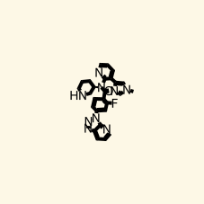 Cn1cnc(-c2cccnc2N(C(=O)c2ccc(-n3nnc4cccnc43)cc2F)[C@@H]2CCCNC2)c1